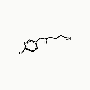 N#CCCCNCc1ccc(Cl)nc1